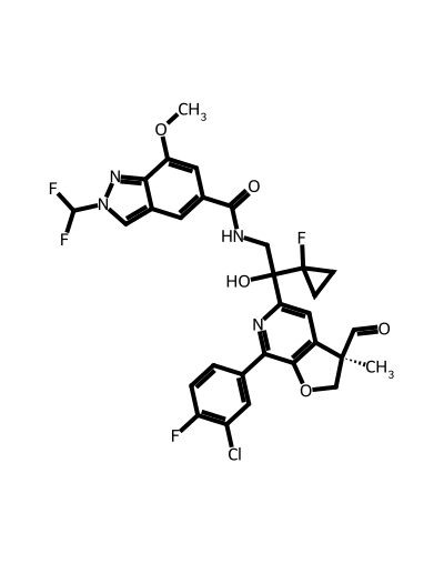 COc1cc(C(=O)NCC(O)(c2cc3c(c(-c4ccc(F)c(Cl)c4)n2)OC[C@]3(C)C=O)C2(F)CC2)cc2cn(C(F)F)nc12